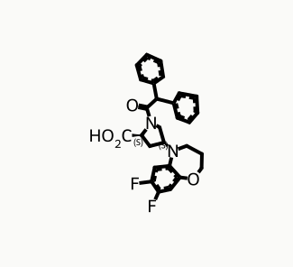 O=C(O)[C@@H]1C[C@H](N2CCCOc3cc(F)c(F)cc32)CN1C(=O)C(c1ccccc1)c1ccccc1